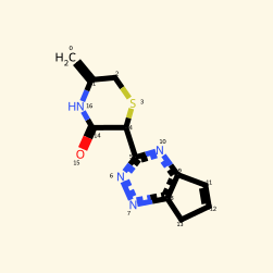 C=C1CSC(c2nnc3c(n2)C=CC3)C(=O)N1